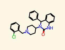 O=C1Nc2ccccc2C(c2ccccc2)N1C1CCN(Cc2ccccc2Cl)CC1